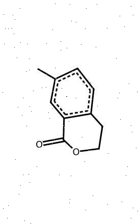 Cc1ccc2c(c1)C(=O)OCC2